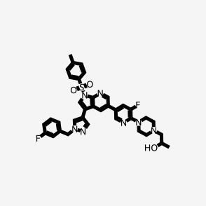 Cc1ccc(S(=O)(=O)n2cc(-c3cnn(Cc4cccc(F)c4)c3)c3cc(-c4cnc(N5CCN(CC(C)O)CC5)c(F)c4)cnc32)cc1